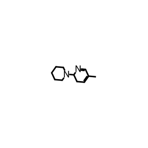 CC1=CCC(N2CCCCC2)N=C1